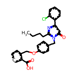 CCCCc1nc(-c2ccccc2Cl)cc(=O)n1Cc1ccc(OCc2ccccc2C(=O)O)cc1